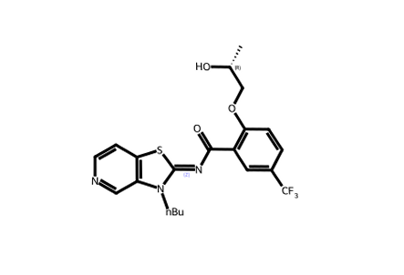 CCCCn1/c(=N/C(=O)c2cc(C(F)(F)F)ccc2OC[C@@H](C)O)sc2ccncc21